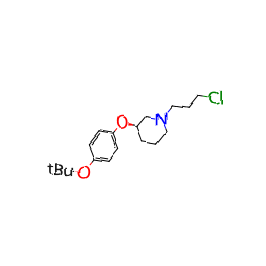 CC(C)(C)Oc1ccc(O[C@@H]2CCCN(CCCCl)C2)cc1